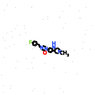 CN1CCc2[nH]c3cc(N4CCN(CCc5ccc(F)cc5)CC4=O)ccc3c2CC1